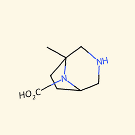 CC12CCC(CNC1)N2C(=O)O